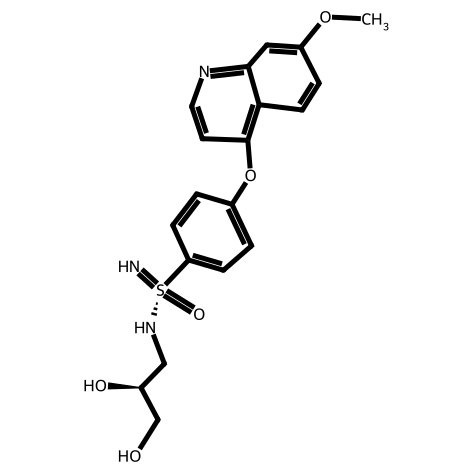 COc1ccc2c(Oc3ccc([S@](=N)(=O)NC[C@H](O)CO)cc3)ccnc2c1